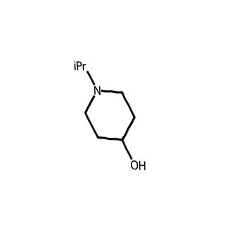 CC(C)N1CC[C](O)CC1